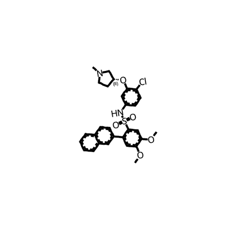 COc1cc(-c2ccc3ccccc3c2)c(S(=O)(=O)Nc2ccc(Cl)c(O[C@@H]3CCN(C)C3)c2)cc1OC